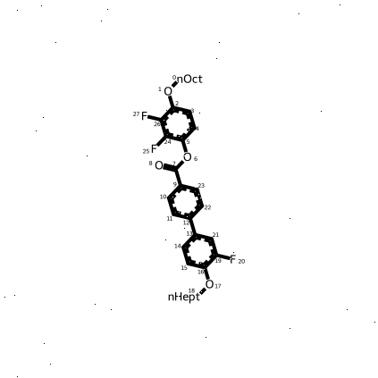 CCCCCCCCOc1ccc(OC(=O)c2ccc(-c3ccc(OCCCCCCC)c(F)c3)cc2)c(F)c1F